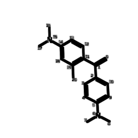 C=C(c1ccc(N(C)C)cc1)c1ccc(N(C)C)cc1C